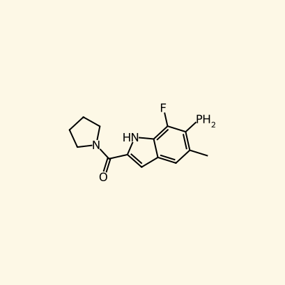 Cc1cc2cc(C(=O)N3CCCC3)[nH]c2c(F)c1P